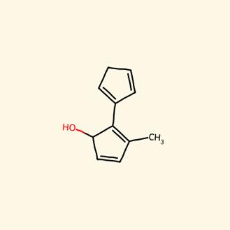 CC1=C(C2=CCC=C2)C(O)C=C1